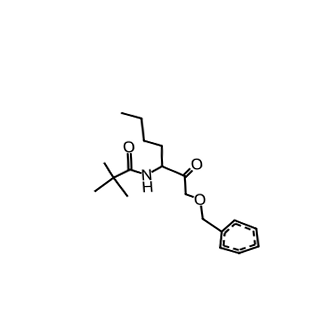 CCCCC(NC(=O)C(C)(C)C)C(=O)COCc1ccccc1